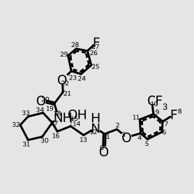 O=C(COc1ccc(F)c(C(F)(F)F)c1)NC[C@@H](O)CC1(NC(=O)COc2ccc(F)cc2)CCCCC1